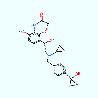 O=C1COc2c(C(O)CN(Cc3ccc(C4(O)CC4)cc3)C3CC3)ccc(O)c2N1